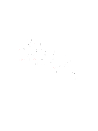 CC(=O)C[C@H]1OC[C@H]2O[C@H]3C=C[C@H]4O[C@H]5[C@H](O)[C@H]6OCC=CC[C@@H]6O[C@@H]5C[C@@H]4O[C@@H]3C/C=C\[C@@H]2O1